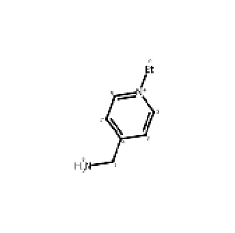 CC[n+]1ccc(CN)cc1